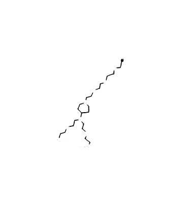 C#CCOCCOCCOCCN1CCC(N(CCOCCNC)CCOCCNC)CC1